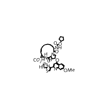 COc1ccc2c(O[C@@H]3C[C@H]4C(=O)N[C@]5(C(=O)O)CC5C=CCCCCC[C@H](NC(=O)OC5CCCC5)C(=O)N4C3)cc(-c3csc(NC(C)C)n3)nc2c1